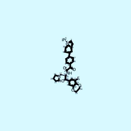 CC(C)n1ccc2cc(-c3ccc(C(=O)C(=O)N[C@H](CN4CCCC4)[C@H](O)c4cc(F)c5c(c4)OCCO5)cc3)ccc21